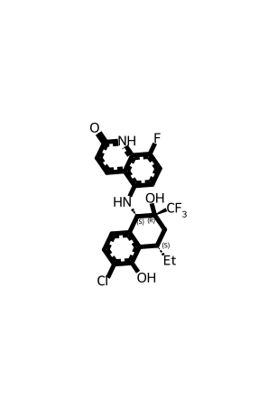 CC[C@H]1C[C@](O)(C(F)(F)F)[C@@H](Nc2ccc(F)c3[nH]c(=O)ccc23)c2ccc(Cl)c(O)c21